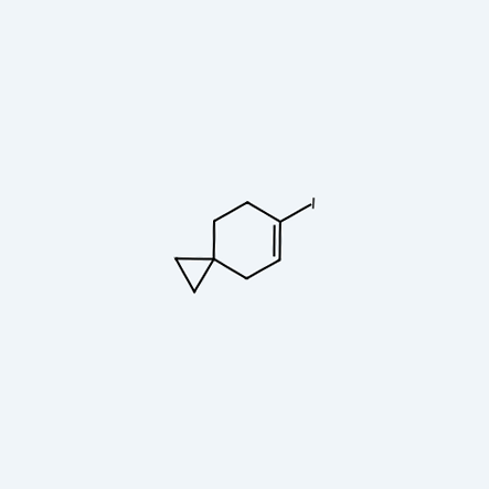 IC1=CCC2(CC1)CC2